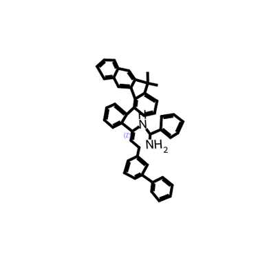 CC1(C)c2cc3ccccc3cc2-c2c(-c3ccccc3/C(=C/Cc3cccc(-c4ccccc4)c3)NC(N)c3ccccc3)cccc21